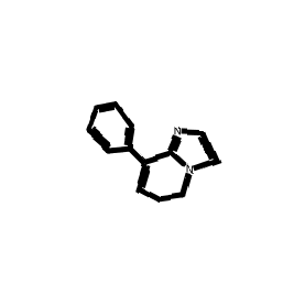 C1=C(c2ccccc2)c2nccn2CC1